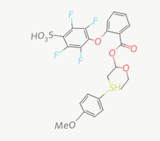 COc1ccc([SH]2CCOC(OC(=O)c3ccccc3Oc3c(F)c(F)c(S(=O)(=O)O)c(F)c3F)C2)cc1